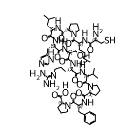 CSCC[C@H](NC(=O)[C@@H](N)CS)C(=O)N1CCC[C@H]1C(=O)N[C@@H](CC(C)C)C(=O)N[C@@H](Cc1cnc[nH]1)C(=O)N[C@@H](CO)C(=O)N[C@@H](CCCN=C(N)N)C(=O)N[C@H](C(=O)N1CCC[C@H]1C(=O)N[C@@H](Cc1ccccc1)C(=O)N1CCC[C@H]1C(=O)O)C(C)C